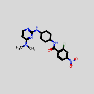 CN(C)c1ccnc(NC2CCC(NC(=O)c3ccc([N+](=O)[O-])cc3Cl)CC2)n1